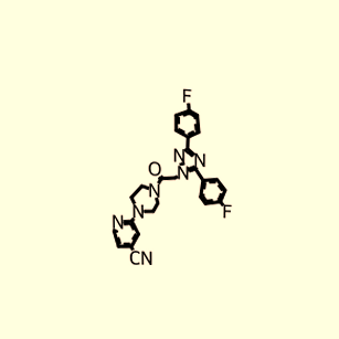 N#Cc1ccnc(N2CCN(C(=O)Cn3nc(-c4ccc(F)cc4)nc3-c3ccc(F)cc3)CC2)c1